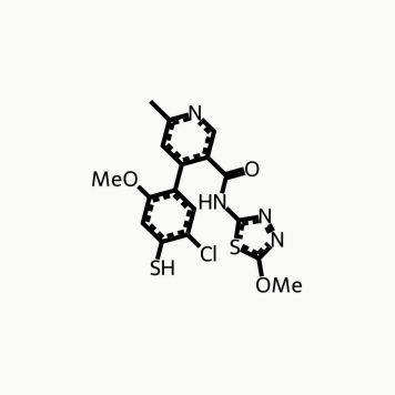 COc1nnc(NC(=O)c2cnc(C)cc2-c2cc(Cl)c(S)cc2OC)s1